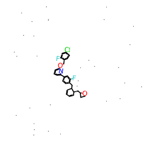 Fc1cc(Cl)ccc1COc1cccc(-c2ccc(CC3C=CC=CC3CC3CCO3)c(F)c2)n1